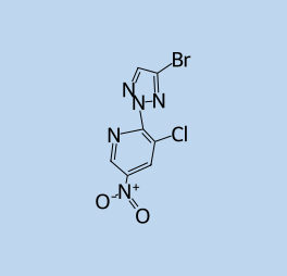 O=[N+]([O-])c1cnc(-n2ncc(Br)n2)c(Cl)c1